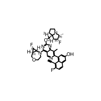 [2H]C([2H])(Oc1nc(N2CCOC[C@H]3[C@H](F)[C@H]32)c2cnc(-c3cc(O)cc4ccc(F)c(C#C)c34)c(C)c2n1)[C@@]12CCCN1[C@H](C)[C@H](F)C2